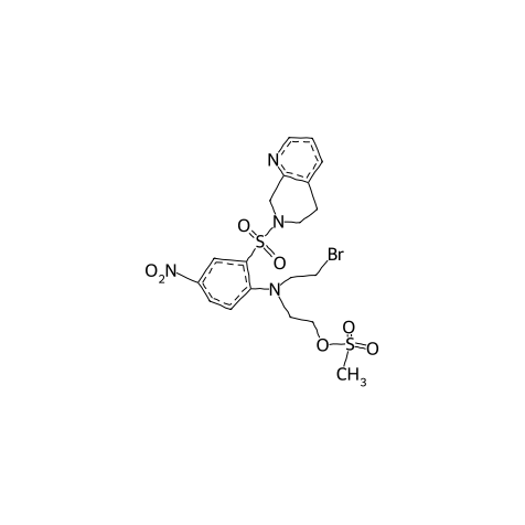 CS(=O)(=O)OCCN(CCBr)c1ccc([N+](=O)[O-])cc1S(=O)(=O)N1CCc2cccnc2C1